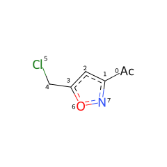 CC(=O)c1cc(CCl)on1